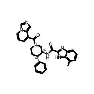 O=C(N[C@@H]1CN(C(=O)c2cccn3cncc23)CC[C@H]1c1ccccc1)c1nc2cccc(F)c2[nH]1